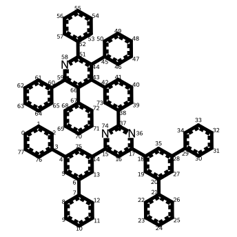 c1ccc(-c2cc(-c3ccccc3)cc(-c3cc(-c4cc(-c5ccccc5)cc(-c5ccccc5)c4)nc(-c4cccc(-c5c(-c6ccccc6)c(-c6ccccc6)nc(-c6ccccc6)c5-c5ccccc5)c4)n3)c2)cc1